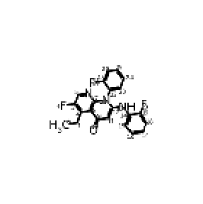 CCc1c(F)cnc2c1c(=O)cc(Nc1ccccc1F)n2-c1ccccc1F